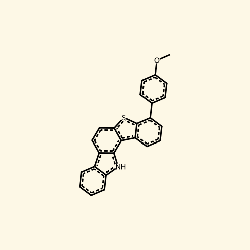 COc1ccc(-c2cccc3c2sc2ccc4c5ccccc5[nH]c4c23)cc1